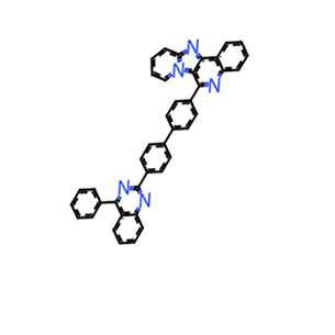 c1ccc(-c2nc(-c3ccc(-c4ccc(-c5nc6ccccc6c6nc7ccccn7c56)cc4)cc3)nc3ccccc23)cc1